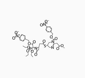 CCOP(OCC)(OCC)=C(C(=O)OCc1ccc([N+](=O)[O-])cc1)N1C(=O)CC1CC(=O)SC1CN=C(CC(=O)OC)N(C(=O)OCc2ccc([N+](=O)[O-])cc2)C1